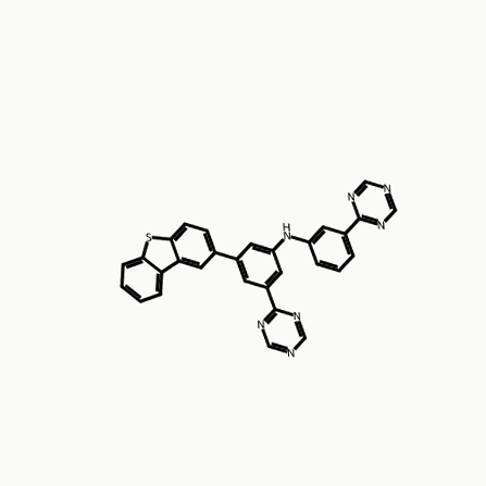 c1cc(Nc2cc(-c3ccc4sc5ccccc5c4c3)cc(-c3ncncn3)c2)cc(-c2ncncn2)c1